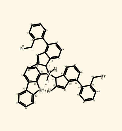 CCC1=Cc2c(-c3ccccc3CC(C)C)cccc2[CH]1[Zr]([Cl])([Cl])([c]1cccc2c1[SiH2]c1ccccc1-2)[CH]1C(CC)=Cc2c(-c3ccccc3CC(C)C)cccc21